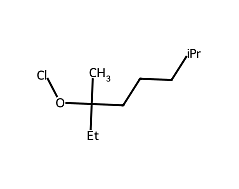 CCC(C)(CCCC(C)C)OCl